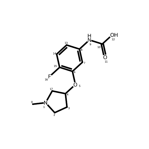 CN1CCC(Oc2cc(NC(=O)O)ccc2F)C1